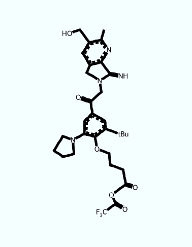 Cc1nc2c(cc1CO)CN(CC(=O)c1cc(N3CCCC3)c(OCCCC(=O)OC(=O)C(F)(F)F)c(C(C)(C)C)c1)C2=N